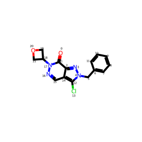 O=c1c2nn(Cc3ccccc3)c(Cl)c2cnn1C1COC1